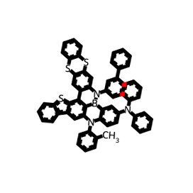 Cc1ccccc1N1c2ccc(N(c3ccccc3)c3ccccc3)cc2B2c3c1cc1c(sc4ccccc41)c3-c1cc3c(cc1N2c1cccc(-c2ccccc2)c1)Sc1ccccc1S3